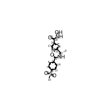 C[C@H](NC(=O)c1ccc(S(C)(=O)=O)cc1)c1ncc(C(=O)NO)s1